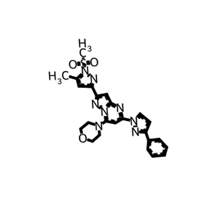 Cc1cc(-c2cc3nc(-n4ccc(-c5ccccc5)n4)cc(N4CCOCC4)n3n2)nn1S(C)(=O)=O